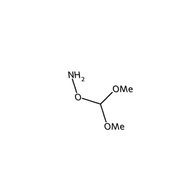 COC(OC)ON